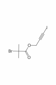 CC(C)(Br)C(=O)OCC#CI